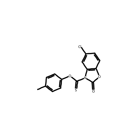 Cc1ccc(OC(=S)n2c(=O)oc3ccc(Cl)cc32)cc1